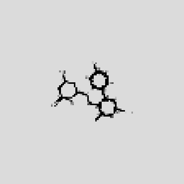 O=C1CC(O)CC(CCc2c(Cl)cc(Cl)cc2-c2ccc(F)cc2)O1